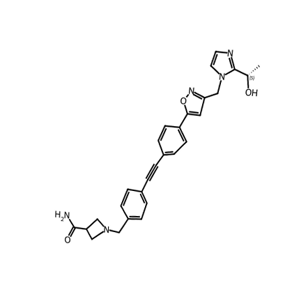 C[C@H](O)c1nccn1Cc1cc(-c2ccc(C#Cc3ccc(CN4CC(C(N)=O)C4)cc3)cc2)on1